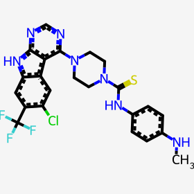 CNc1ccc(NC(=S)N2CCN(c3ncnc4[nH]c5cc(C(F)(F)F)c(Cl)cc5c34)CC2)cc1